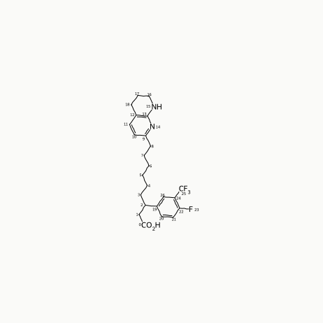 O=C(O)CC(CCCCCCc1ccc2c(n1)NCCC2)c1ccc(F)c(C(F)(F)F)c1